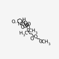 COCCOC(=O)CCC(C)(C)COS(=O)(=O)ON1C(=O)N2C[C@H]1CC[C@H]2C=O